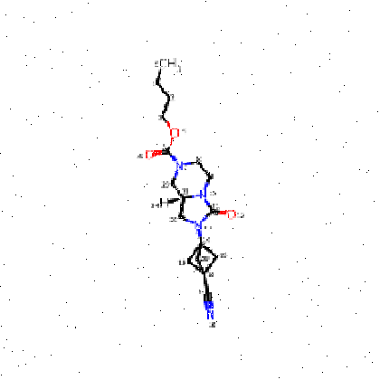 CCCCOC(=O)N1CCN2C(=O)N(C34CC(C#N)(C3)C4)C[C@@H]2C1